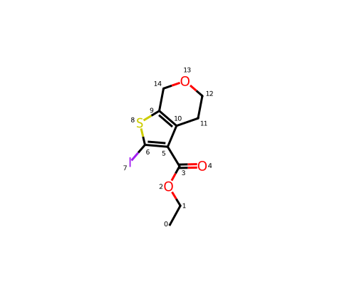 CCOC(=O)c1c(I)sc2c1CCOC2